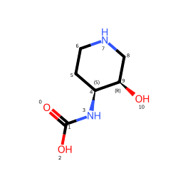 O=C(O)N[C@H]1CCNC[C@H]1O